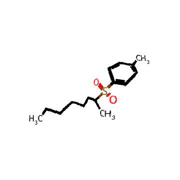 CCCCCCC(C)S(=O)(=O)c1ccc(C)cc1